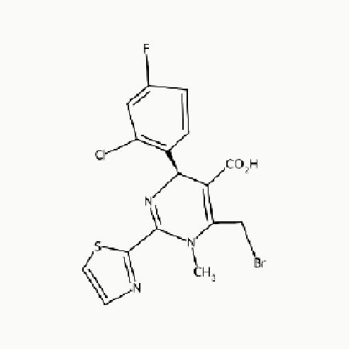 CN1C(c2nccs2)=N[C@@H](c2ccc(F)cc2Cl)C(C(=O)O)=C1CBr